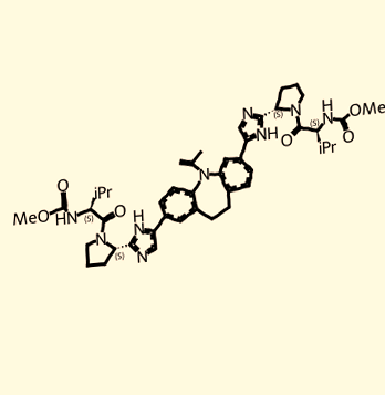 C=C(C)N1c2ccc(-c3cnc([C@@H]4CCCN4C(=O)[C@@H](NC(=O)OC)C(C)C)[nH]3)cc2CCc2ccc(-c3cnc([C@@H]4CCCN4C(=O)[C@@H](NC(=O)OC)C(C)C)[nH]3)cc21